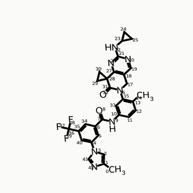 Cc1cn(-c2cc(C(=O)Nc3ccc(C)c(N4Cc5cnc(NC6CC6)nc5C5(CC5)C4=O)c3)cc(C(F)(F)F)c2)cn1